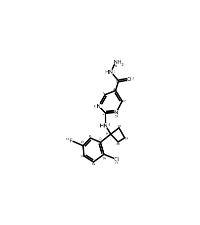 NNC(=O)c1cnc(NC2(c3cc(F)ccc3Cl)CCC2)nc1